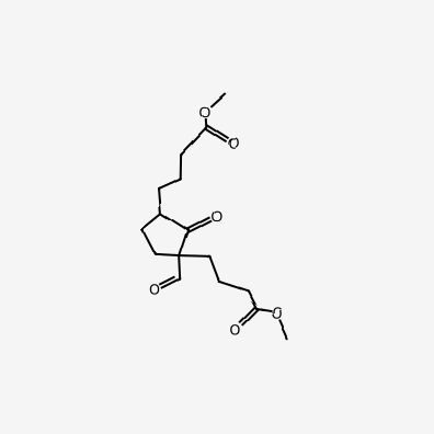 COC(=O)CCCC1CCC(C=O)(CCCC(=O)OC)C1=O